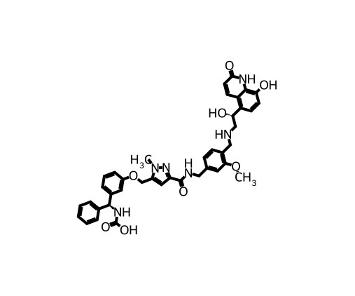 COc1cc(CNC(=O)c2cc(COc3cccc([C@@H](NC(=O)O)c4ccccc4)c3)n(C)n2)ccc1CNC[C@H](O)c1ccc(O)c2[nH]c(=O)ccc12